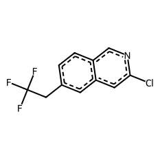 FC(F)(F)Cc1ccc2cnc(Cl)cc2c1